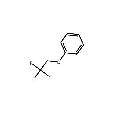 FC(F)(F)COc1c[c]ccc1